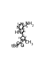 C[C@H]1CC(c2cc3c(CN)ncnc3[nH]2)CN1C(=O)OC(C)(C)C